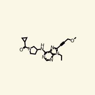 CCn1c(C#CCOC)nc2c(NC3CCN(C(=O)C4CC4)C3)ncnc21